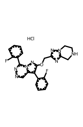 Cl.Fc1ccccc1-c1c(OCc2nc3n(n2)CCNC3)nn2c(-c3ccccc3F)nncc12